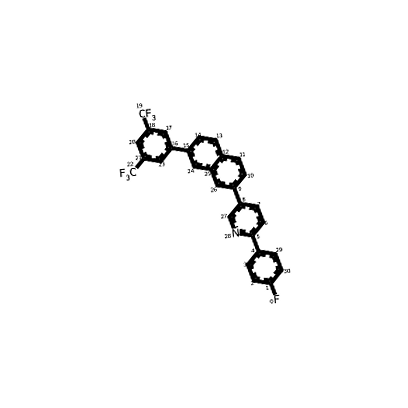 Fc1ccc(-c2ccc(-c3ccc4ccc(-c5cc(C(F)(F)F)cc(C(F)(F)F)c5)cc4c3)cn2)cc1